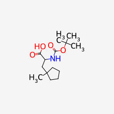 CC1(CC(NC(=O)OC(C)(C)C)C(=O)O)CCCC1